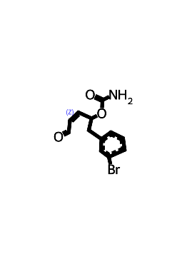 NC(=O)OC(/C=C\C=O)Cc1cccc(Br)c1